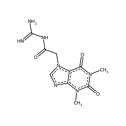 Cn1c(=O)c2c(ncn2CC(=O)NC(=N)N)n(C)c1=O